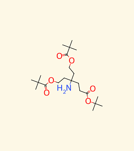 CC(C)(C)OC(=O)CCC(N)(CCOC(=O)C(C)(C)C)CCOC(=O)C(C)(C)C